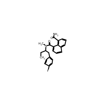 [CH2]CC(Cc1ccc(F)cc1)N(C)C(=O)c1cccc2cccc(C(N)=O)c12